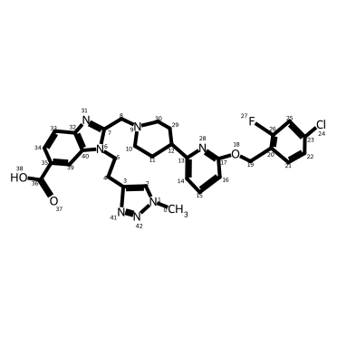 Cn1cc(CCn2c(CN3CCC(c4cccc(OCc5ccc(Cl)cc5F)n4)CC3)nc3ccc(C(=O)O)cc32)nn1